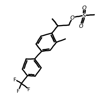 Cc1cc(-c2ccc(C(F)(F)F)cc2)ccc1C(C)COS(C)(=O)=O